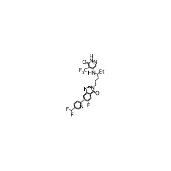 CCC(CCCn1cnc2cc(-c3ccc(C(F)F)cn3)c(F)cc2c1=O)Nc1cn[nH]c(=O)c1C(F)(F)F